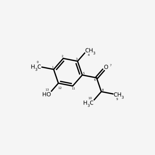 Cc1cc(C)c(C(=O)C(C)C)cc1O